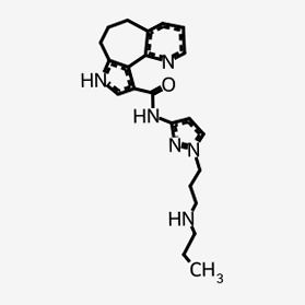 CCCNCCCn1ccc(NC(=O)c2c[nH]c3c2-c2ncccc2CCC3)n1